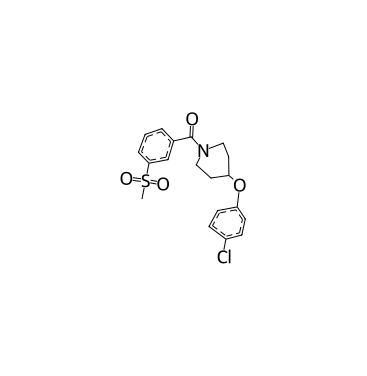 CS(=O)(=O)c1cccc(C(=O)N2CCC(Oc3ccc(Cl)cc3)CC2)c1